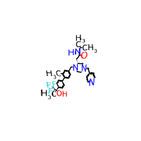 Cc1cc(CN2CCN(Cc3ccncc3)C[C@H]2CC(=O)NC(C)C)ccc1-c1ccc(C(C)(O)C(F)(F)F)cc1